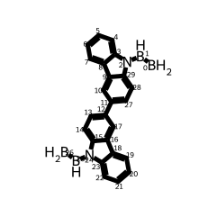 BBn1c2ccccc2c2cc(-c3ccc4c(c3)c3ccccc3n4BB)ccc21